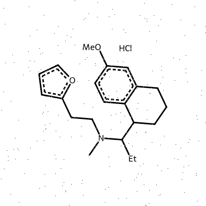 CCC(C1CCCc2cc(OC)ccc21)N(C)CCc1ccco1.Cl